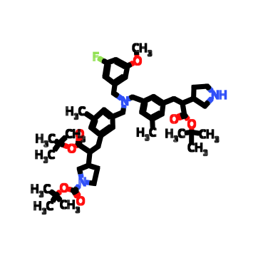 COc1cc(F)cc(CN(Cc2cc(C)cc(CC(C(=O)OC(C)(C)C)C3CCNC3)c2)Cc2cc(C)cc(CC(C(=O)OC(C)(C)C)C3CCN(C(=O)OC(C)(C)C)C3)c2)c1